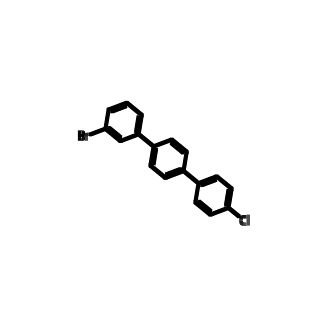 Clc1ccc(-c2ccc(-c3cccc(Br)c3)cc2)cc1